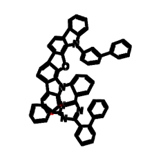 c1ccc(-c2cccc(-n3c4ccccc4c4ccc5c6ccc7c8ccccc8n(-c8ccccc8-c8nc(-c9ccccc9)nc(-c9ccccc9-c9ccccc9)n8)c7c6oc5c43)c2)cc1